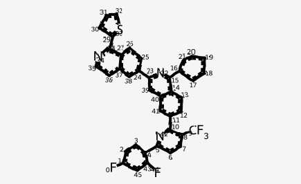 Fc1ccc(-c2ccc(C(F)(F)F)c(-c3ccc4c(-c5ccccc5)nc(-c5ccc6c(-c7cccs7)nccc6c5)cc4c3)n2)c(F)c1